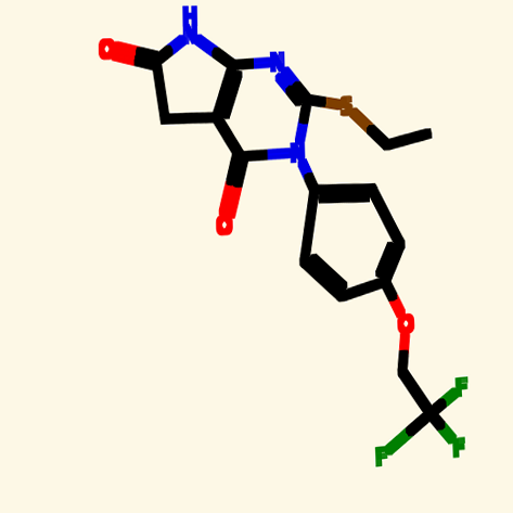 CCSc1nc2c(c(=O)n1-c1ccc(OCC(F)(F)F)cc1)CC(=O)N2